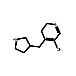 CC1=C(CC2CCNC2)CCN=C1